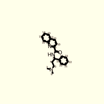 CN(C)CCC(NC(=O)c1ccc2ccccc2n1)c1ccccc1